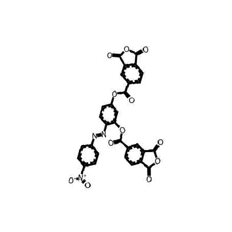 O=C(Oc1ccc(N=Nc2ccc([N+](=O)[O-])cc2)c(OC(=O)c2ccc3c(c2)C(=O)OC3=O)c1)c1ccc2c(c1)C(=O)OC2=O